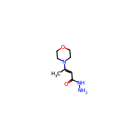 CC(=CC(=O)NN)N1CCOCC1